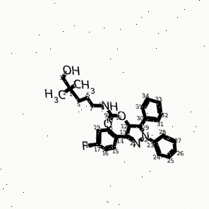 CC(C)(CO)CCCNC(=O)OC1C(c2ccc(F)cc2)=NN(c2ccccc2)C1c1ccccc1